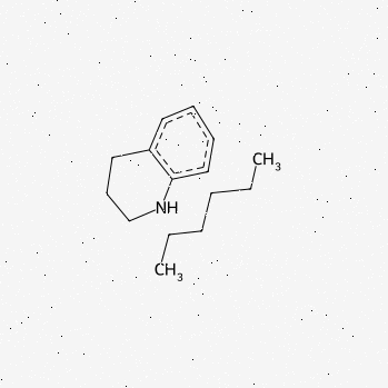 CCCCCC.c1ccc2c(c1)CCCN2